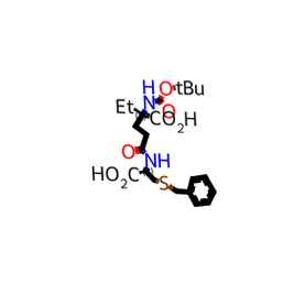 CC[C@@](CCC(=O)N[C@@H](CSCc1ccccc1)C(=O)O)(NC(=O)OC(C)(C)C)C(=O)O